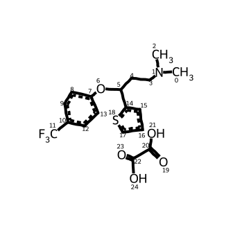 CN(C)CCC(Oc1ccc(C(F)(F)F)cc1)c1cccs1.O=C(O)C(=O)O